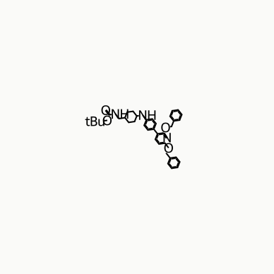 CC(C)(C)OC(=O)NCC1CCC(Nc2ccc(-c3ccc(OCc4ccccc4)nc3OCc3ccccc3)cc2)CC1